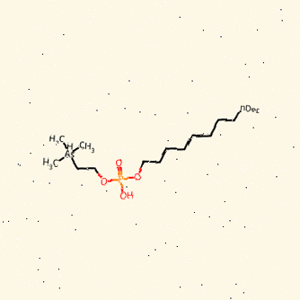 CCCCCCCCCCCCCCCCCCOP(=O)(O)OCC[AsH](C)(C)C